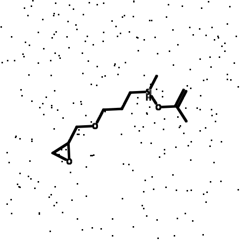 C=C(C)O[SiH](C)CCCOCC1CO1